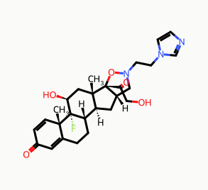 C[C@]12C=CC(=O)C=C1CC[C@H]1[C@@H]3C[C@H]4CN(CCn5ccnc5)O[C@@]4(C(=O)CO)[C@@]3(C)C[C@H](O)[C@@]12F